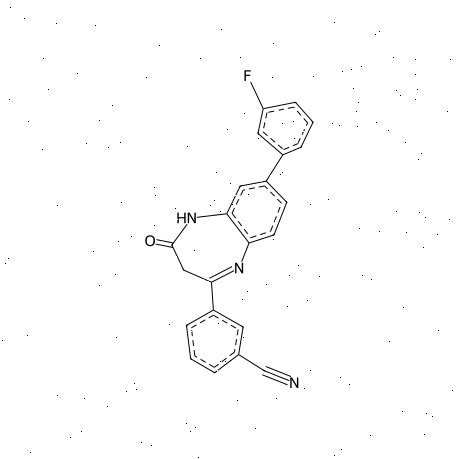 N#Cc1cccc(C2=Nc3ccc(-c4cccc(F)c4)cc3NC(=O)C2)c1